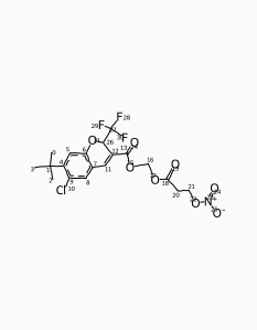 CC(C)(C)c1cc2c(cc1Cl)C=C(C(=O)OCOC(=O)CCO[N+](=O)[O-])C(C(F)(F)F)O2